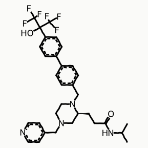 CC(C)NC(=O)CC[C@H]1CN(Cc2ccncc2)CCN1Cc1ccc(-c2ccc(C(O)(C(F)(F)F)C(F)(F)F)cc2)cc1